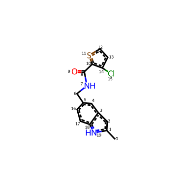 Cc1cc2cc(CNC(=O)c3sccc3Cl)ccc2[nH]1